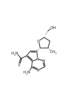 C[C@H]1C[C@@H](CO)O[C@H]1c1cc(C(N)=S)c2c(N)ncnn12